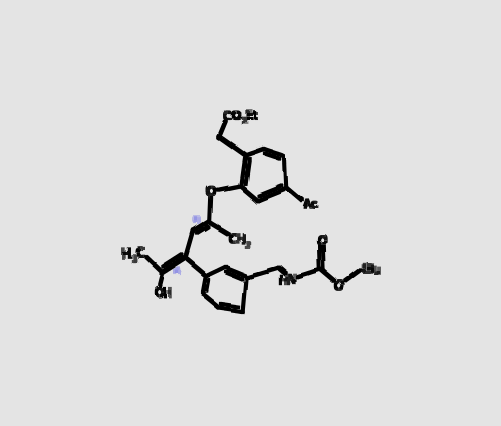 CCOC(=O)Cc1ccc(C(C)=O)cc1O/C(C)=C/C(=C(\C)O)c1cccc(CNC(=O)OC(C)(C)C)c1